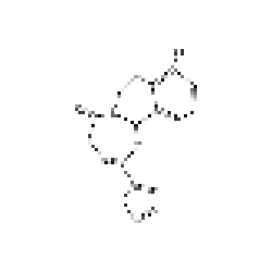 O=C1CN=C(c2cccs2)C=C2c3cccc(Cl)c3CCN12